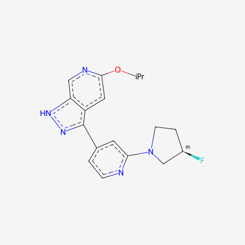 CC(C)Oc1cc2c(-c3ccnc(N4CC[C@@H](F)C4)c3)n[nH]c2cn1